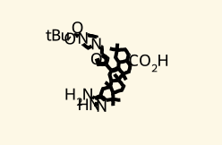 CC1(C)CCC2(C(=O)O)CCC3(C)C(=C(c4coc(CN5CCN(C(=O)OC(C)(C)C)CC5)c4)CC4C5(C)Cc6c(n[nH]c6N)C(C)(C)C5CCC43C)C2C1